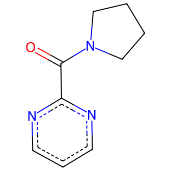 O=C(c1ncccn1)N1CCCC1